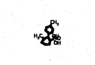 Cc1ccc(-c2c(C)cccc2P(=O)(O)O)cc1